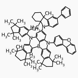 Cc1cc2c(cc1N1c3cc4c(cc3B3c5cc6c(cc5N(c5ccc7oc8ccccc8c7c5)c5cc(N7c8ccc(-c9ccccc9)cc8C8(C)CCCCC78C)cc1c53)C(C)(C)CCC6(C)C)C(C)(C)CCC4(C)C)C(C)(C)CC2(C)C